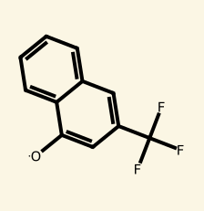 [O]c1cc(C(F)(F)F)cc2ccccc12